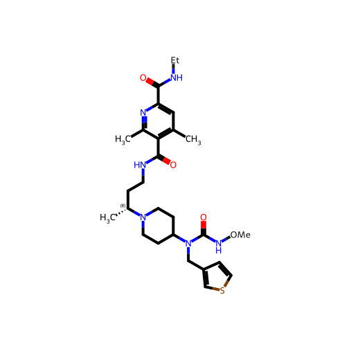 CCNC(=O)c1cc(C)c(C(=O)NCC[C@@H](C)N2CCC(N(Cc3ccsc3)C(=O)NOC)CC2)c(C)n1